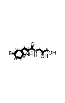 O=C(NCC(O)CO)c1cc2cc(F)ccc2[nH]1